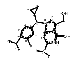 CN(C)c1nc2c(c(CO)nn2[C@@H](c2ccc(C(F)F)c(F)c2)C2CC2)c(=O)[nH]1